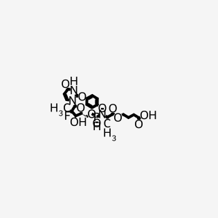 CC(C(=O)OCCCC(=O)O)N(Oc1ccccc1)[PH](=O)OC[C@H]1OC(n2ccc(=O)[nH]c2=O)[C@](C)(F)[C@@H]1O